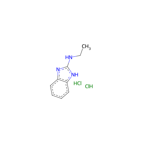 CCNc1nc2ccccc2[nH]1.Cl.Cl